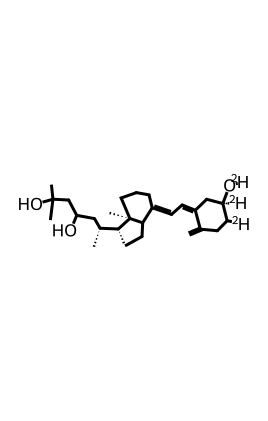 [2H]O[C@]1([2H])C/C(=C/C=C2CCC[C@@]3(C)C2CC[C@@H]3[C@H](C)CC(O)CC(C)(C)O)C(=C)CC1[2H]